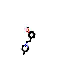 COc1cccc(CCN2CCC(C)CC2)c1